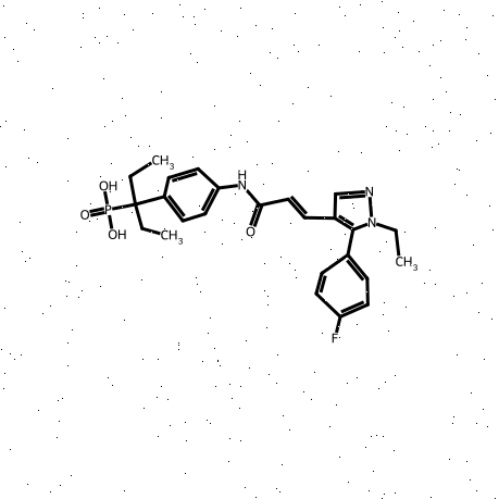 CCn1ncc(C=CC(=O)Nc2ccc(C(CC)(CC)P(=O)(O)O)cc2)c1-c1ccc(F)cc1